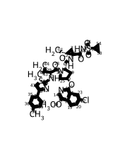 C=C[C@@H]1C[C@]1(NC(=O)[C@@H]1C[C@@H](Oc2ncc(OC)c3ccc(Cl)cc23)CN1C(=O)[C@@H](Nc1nc(-c2ccc(C)cc2)cs1)C(=C)C)C(=O)NS(=O)(=O)C1CC1